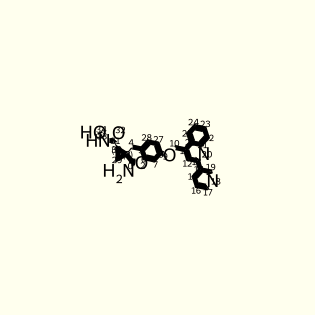 NC(=O)[C@@]1(Cc2ccc(OCc3cc(-c4cccnc4)nc4ccccc34)cc2)C[C@@H]1C(=O)NO